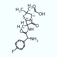 CC1(C)S[C@H]2N(C(=O)C2(C)NC(=O)C(N)c2ccc(F)cc2)[C@H]1C(=O)O